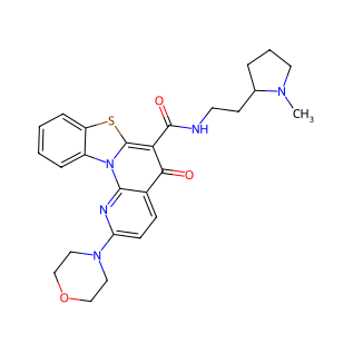 CN1CCCC1CCNC(=O)c1c(=O)c2ccc(N3CCOCC3)nc2n2c1sc1ccccc12